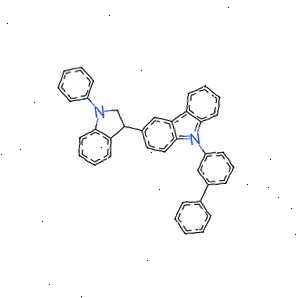 c1ccc(-c2cccc(-n3c4ccccc4c4cc(C5CN(c6ccccc6)c6ccccc65)ccc43)c2)cc1